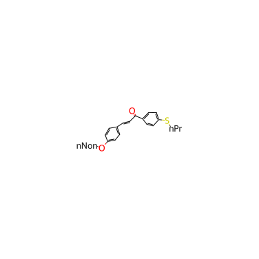 CCCCCCCCCOc1ccc(/C=C/C(=O)c2ccc(SCCC)cc2)cc1